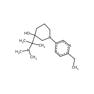 CCc1ccc(N2CCCC(O)(C(C)(C)N(C)C)C2)cn1